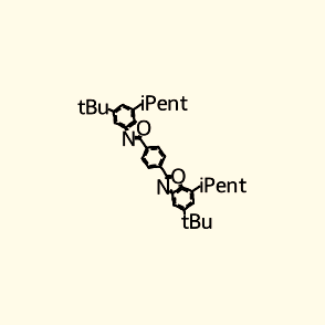 CCCC(C)c1cc(C(C)(C)C)cc2nc(-c3ccc(-c4nc5cc(C(C)(C)C)cc(C(C)CCC)c5o4)cc3)oc12